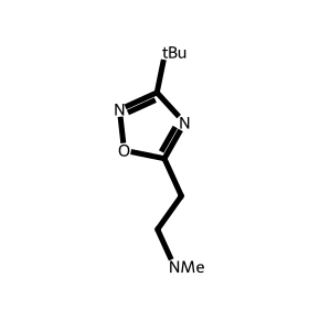 CNCCc1nc(C(C)(C)C)no1